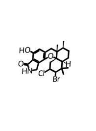 C[C@H]1CC[C@H]2C(C)(C)C(Br)C(Cl)C[C@]23Oc2c(cc(O)c4c2CNC4=O)C[C@]13C